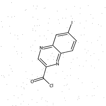 O=C(Cl)c1cnc2cc(I)ccc2n1